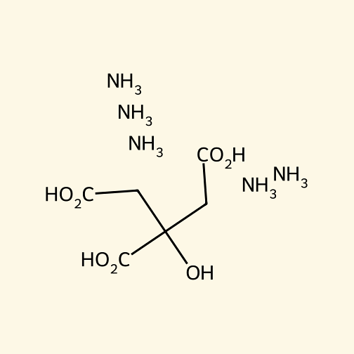 N.N.N.N.N.O=C(O)CC(O)(CC(=O)O)C(=O)O